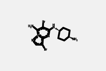 Nc1c(Br)c(N[C@H]2CC[C@@H](N)CC2)nc2c(Br)cnn12